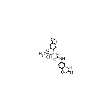 CC1(C)C[C@@H](NC(=O)Nc2ccc3c(c2)NC(=O)CO3)c2ccc(C(F)(F)F)cc2O1